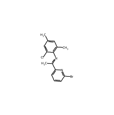 C/C(=N\c1c(C)cc(C)cc1Cl)c1cccc(Br)n1